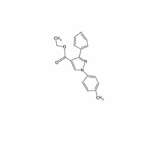 CCOC(=O)c1cn(-c2ccc(C)cc2)nc1-c1ccccc1